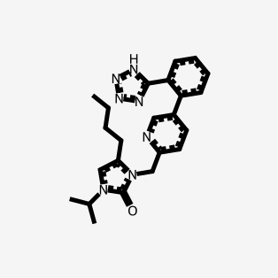 CCCCc1cn(C(C)C)c(=O)n1Cc1ccc(-c2ccccc2-c2nnn[nH]2)cn1